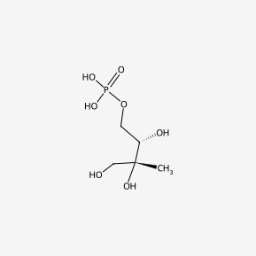 C[C@@](O)(CO)[C@@H](O)COP(=O)(O)O